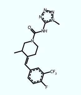 CC1CN(C(=O)Nc2nnnn2C)CC/C1=C\c1ccc(F)c(C(F)(F)F)c1